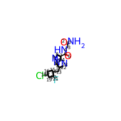 NC(=O)CNC(=O)c1cnn2cc(Cc3ccc(Cl)cc3F)cnc12